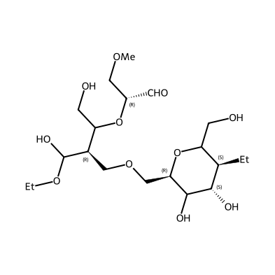 CCOC(O)[C@H](COC[C@H]1OC(CO)[C@@H](CC)[C@H](O)C1O)C(CO)O[C@@H](C=O)COC